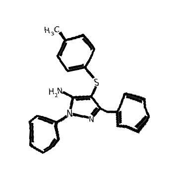 Cc1ccc(Sc2c(-c3ccccc3)nn(-c3ccccc3)c2N)cc1